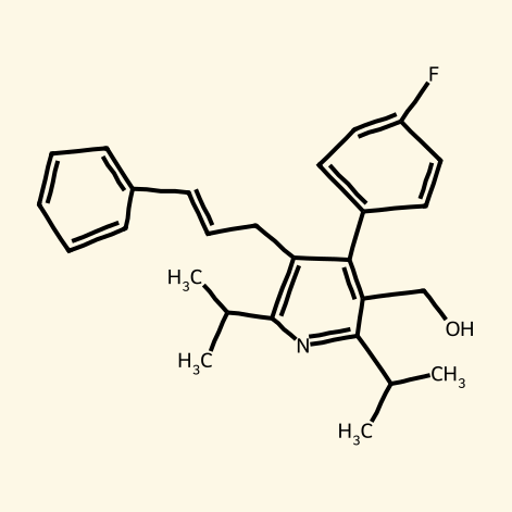 CC(C)c1nc(C(C)C)c(CC=Cc2ccccc2)c(-c2ccc(F)cc2)c1CO